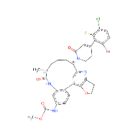 COC(=O)Nc1ccc2c(c1)NC(=O)[C@H](C)CCC[C@H](N1CCC(c3c(Br)ccc(Cl)c3F)=CC1=O)c1cc-2c2c(n1)CCO2